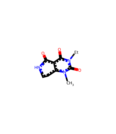 CCn1c(=O)c2c(=O)[nH]ccc2n(C)c1=O